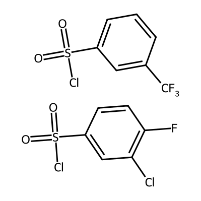 O=S(=O)(Cl)c1ccc(F)c(Cl)c1.O=S(=O)(Cl)c1cccc(C(F)(F)F)c1